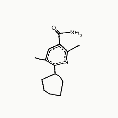 Cc1cc(C(N)=O)c(C)nc1C1CCCCC1